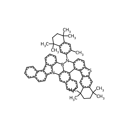 Cc1cc2c(cc1N1B3c4c(cc5ccccc5c4-c4c1ccc1sc5cc6c(cc5c41)C(C)(C)CCC6(C)C)-n1c4ccc5ccccc5c4c4cccc3c41)C(C)(C)CCC2(C)C